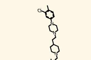 CC(=O)CN1CCC(CCN2CCN(c3ccc(C)c(Cl)c3)CC2)CC1